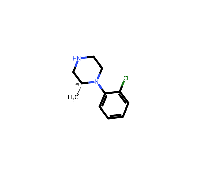 C[C@@H]1CNCCN1c1ccccc1Cl